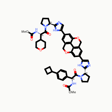 COC(=O)N[C@H](C(=O)N1CCC[C@H]1c1ncc(-c2cc3c4c(c2)OCc2cc(-c5cnc([C@@H]6CCCN6C(=O)[C@H](NC(=O)OC)c6ccc(C7CCC7)cc6)[nH]5)cc(c2-4)OC3)[nH]1)C1CCOCC1